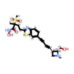 CN1C[C@@H](C#CC#Cc2ccc3nc(CCC(C)(C(=O)NO)S(C)(=O)=O)sc3c2)[C@@H]1CO